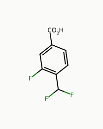 O=C(O)c1ccc(C(F)F)c(F)c1